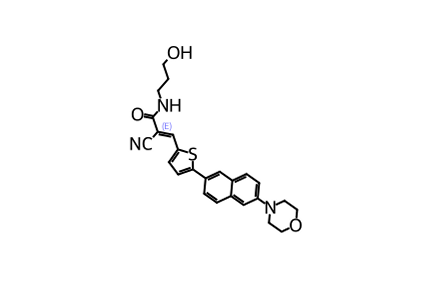 N#C/C(=C\c1ccc(-c2ccc3cc(N4CCOCC4)ccc3c2)s1)C(=O)NCCCO